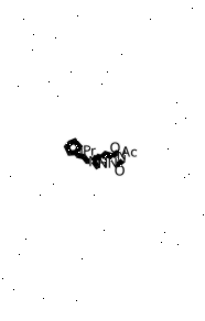 CC(=O)N1CC(=O)N/C(=C\c2ncn(CCCC3CCCCC3)c2C(C)C)C1=O